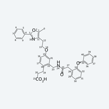 Cc1oc(-c2ccccc2)nc1CCOc1ccc(CCC(=O)O)c(CNC(=O)Cc2ccccc2Oc2ccccc2)c1